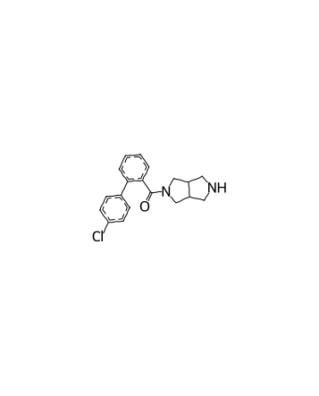 O=C(c1ccccc1-c1ccc(Cl)cc1)N1CC2CNCC2C1